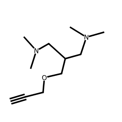 C#CCOCC(CN(C)C)CN(C)C